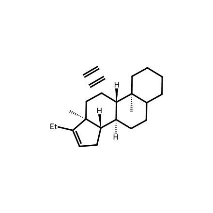 C=C.C=C.CCC1=CC[C@H]2[C@@H]3CCC4CCCC[C@]4(C)[C@H]3CC[C@]12C